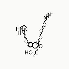 [N-]=[N+]=NCCOCCOCCOCCN1Cc2cc(OCCCNC3=NCCCN3)ccc2C[C@@H](CC(=O)O)C1=O